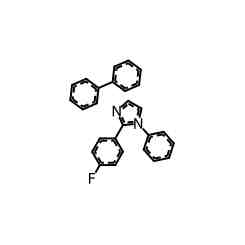 Fc1ccc(-c2nccn2-c2ccccc2)cc1.c1ccc(-c2ccccc2)cc1